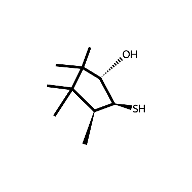 C[C@@H]1[C@H](S)[C@@H](O)C(C)(C)C1(C)C